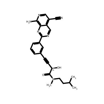 CC(C)CCN(C)C(=O)[C@H](O)C#Cc1cccc(-c2ncc3c(C#N)cnc(N)c3n2)c1